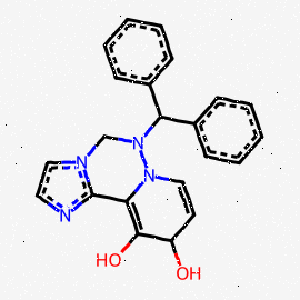 OC1=C2c3nccn3CN(C(c3ccccc3)c3ccccc3)N2C=CC1O